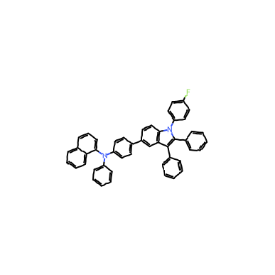 Fc1ccc(-n2c(-c3ccccc3)c(-c3ccccc3)c3cc(-c4ccc(N(c5ccccc5)c5cccc6ccccc56)cc4)ccc32)cc1